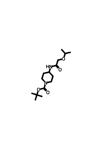 CC(C)OCC(=O)NC1CCN(C(=O)OC(C)(C)C)CC1